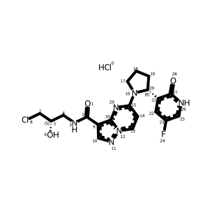 Cl.O=C(NC[C@H](O)CCl)c1cnn2ccc(N3CCC[C@@H]3c3cc(F)c[nH]c3=O)nc12